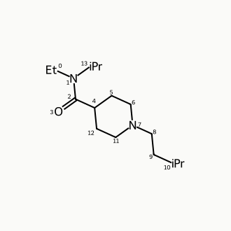 CCN(C(=O)C1CCN(CCC(C)C)CC1)C(C)C